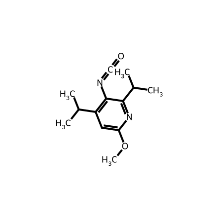 COc1cc(C(C)C)c(N=C=O)c(C(C)C)n1